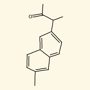 CC(=O)C(C)c1ccc2cc(C)ccc2c1